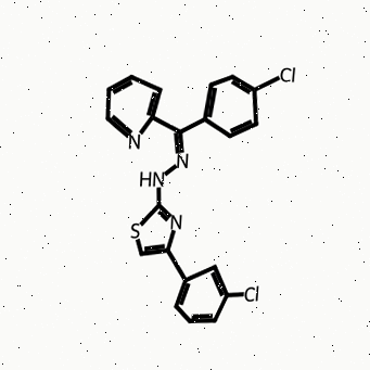 Clc1ccc(C(=NNc2nc(-c3cccc(Cl)c3)cs2)c2ccccn2)cc1